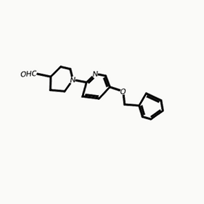 O=CC1CCN(c2ccc(OCc3ccccc3)cn2)CC1